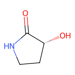 O=C1NCC[C@H]1O